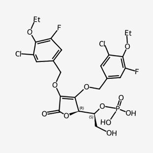 CCOc1c(F)cc(COC2=C(OCc3cc(F)c(OCC)c(Cl)c3)[C@@H]([C@H](CO)OP(=O)(O)O)OC2=O)cc1Cl